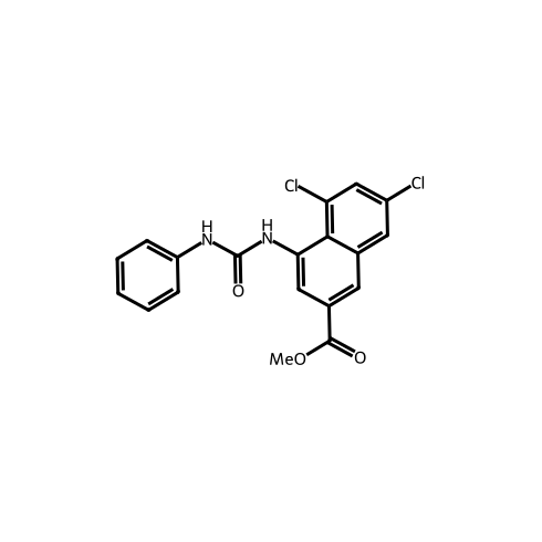 COC(=O)c1cc(NC(=O)Nc2ccccc2)c2c(Cl)cc(Cl)cc2c1